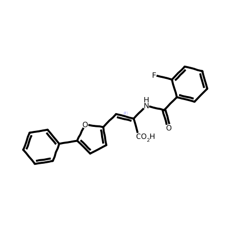 O=C(O)/C(=C\c1ccc(-c2ccccc2)o1)NC(=O)c1ccccc1F